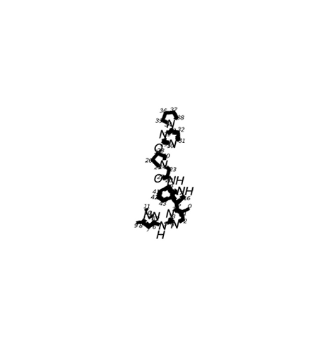 Cc1cnc(Nc2cc(C)n(C)n2)nc1-c1c[nH]c2c(NC(=O)CN3CCC(Oc4nccc(N5CCCC5)n4)C3)cccc12